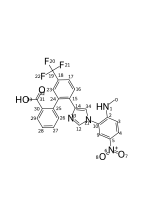 CNc1ccc([N+](=O)[O-])cc1-n1cnc(-c2ccc(C(F)(F)F)cc2-c2ccccc2C(=O)O)c1